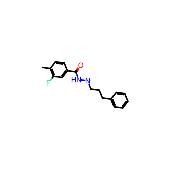 Cc1ccc(C(=O)N[N]CCCc2ccccc2)cc1F